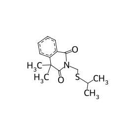 CC(C)SCN1C(=O)c2ccccc2C(C)(C)C1=O